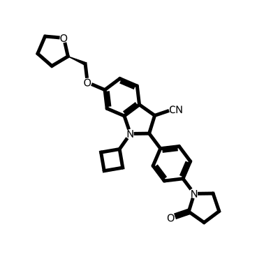 N#CC1c2ccc(OC[C@H]3CCCO3)cc2N(C2CCC2)C1c1ccc(N2CCCC2=O)cc1